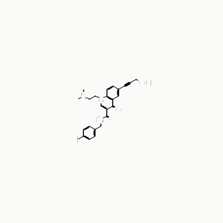 CN(C)CCn1cc(C(=O)NCc2ccc(Cl)cc2)c(=O)c2cc(C#CCO)ccc21